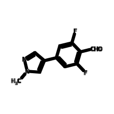 Cn1cc(-c2cc(F)c(C=O)c(F)c2)cn1